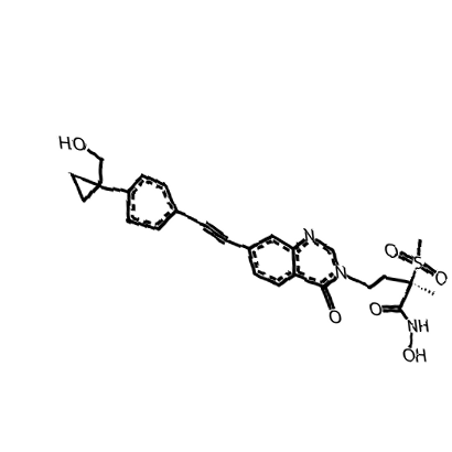 C[C@@](CCn1cnc2cc(C#Cc3ccc(C4(CO)CC4)cc3)ccc2c1=O)(C(=O)NO)S(C)(=O)=O